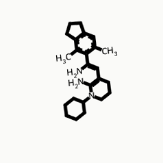 Cc1cc2c(c(C)c1/C(N)=C/C1=C(N)N(C3CCCCC3)CCC1)CCC2